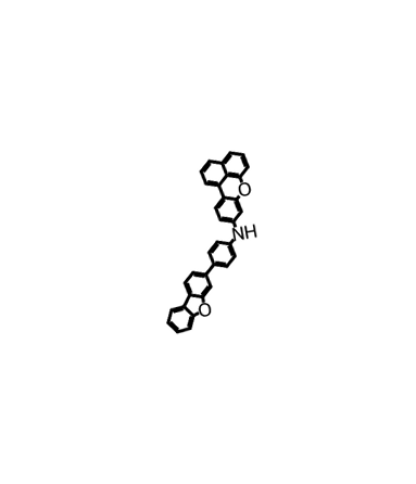 c1cc2c3c(cccc3c1)-c1ccc(Nc3ccc(-c4ccc5c(c4)oc4ccccc45)cc3)cc1O2